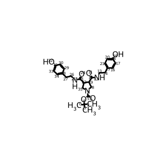 CC(C)(C)OC(=O)N1CC(C(=O)NCCc2ccc(O)cc2)C(C(=O)NCCc2ccc(O)cc2)C1